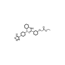 CCOC(=O)COc1cccc(C(=O)Nc2ccccc2Sc2ccc(-c3nnn[nH]3)cc2)c1